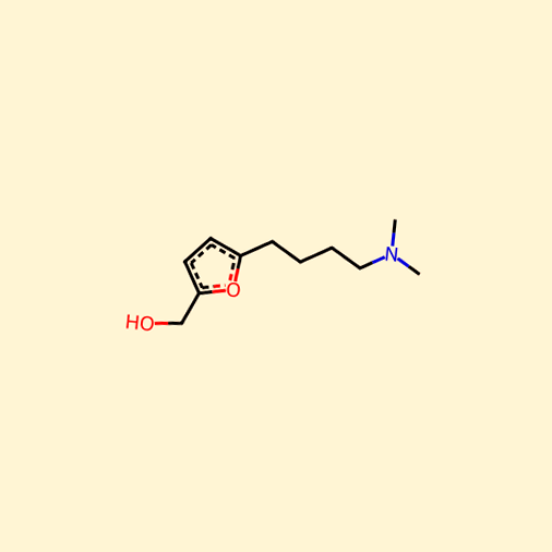 CN(C)CCCCc1ccc(CO)o1